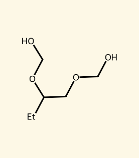 CCC(COCO)OCO